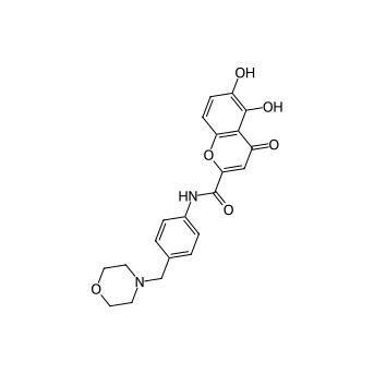 O=C(Nc1ccc(CN2CCOCC2)cc1)c1cc(=O)c2c(O)c(O)ccc2o1